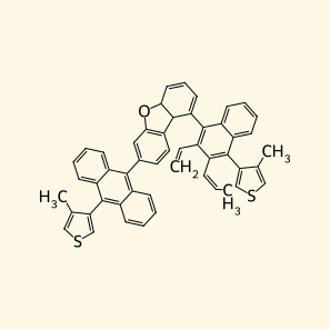 C=Cc1c(/C=C\C)c(-c2cscc2C)c2ccccc2c1C1=CC=CC2Oc3cc(-c4c5ccccc5c(-c5cscc5C)c5ccccc45)ccc3C12